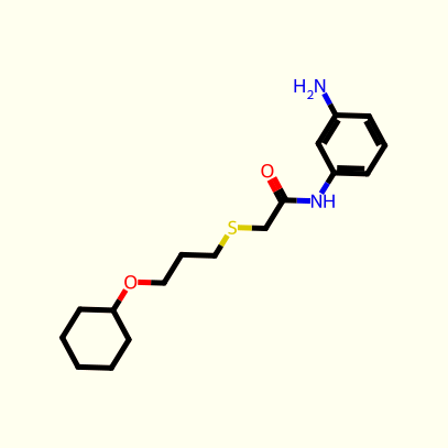 Nc1cccc(NC(=O)CSCCCOC2CCCCC2)c1